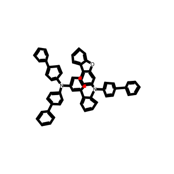 c1ccc(-c2ccc(N(c3ccc(-c4ccccc4)cc3)c3cccc(-c4ccccc4N(c4ccc(-c5ccccc5)cc4)c4ccc5c(c4)oc4ccccc45)c3)cc2)cc1